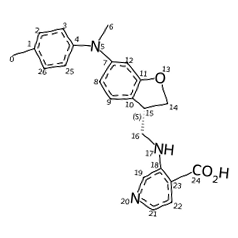 Cc1ccc(N(C)c2ccc3c(c2)OC[C@@H]3CNc2cnccc2C(=O)O)cc1